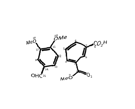 COC(=O)c1cccc(C(=O)O)c1.COc1ccc(C=O)cc1OC